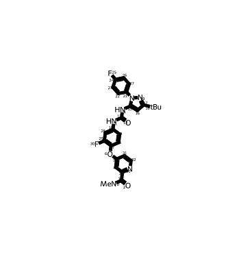 CNC(=O)c1cc(Oc2ccc(NC(=O)Nc3cc(C(C)(C)C)nn3-c3ccc(F)cc3)cc2F)ccn1